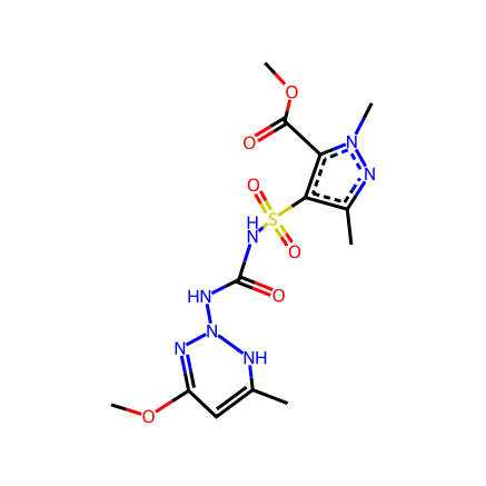 COC(=O)c1c(S(=O)(=O)NC(=O)NN2N=C(OC)C=C(C)N2)c(C)nn1C